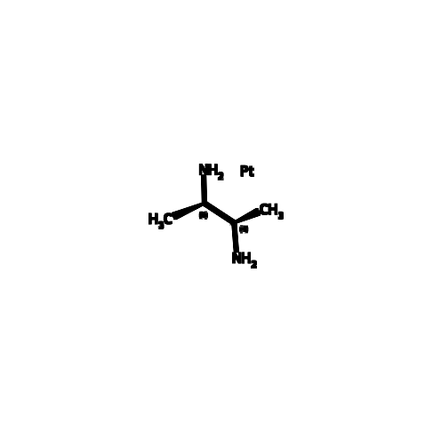 C[C@@H](N)[C@@H](C)N.[Pt]